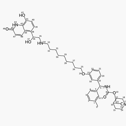 Cc1cccc(C(NC(=O)OC2CN3CCC2CC3)c2cccc(OCCCCCCCCCNCC(O)c3ccc(O)c4[nH]c(=O)ccc34)c2)c1